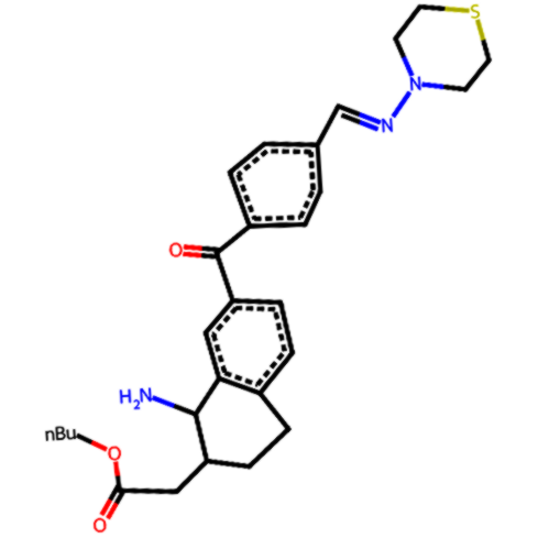 CCCCOC(=O)CC1CCc2ccc(C(=O)c3ccc(C=NN4CCSCC4)cc3)cc2C1N